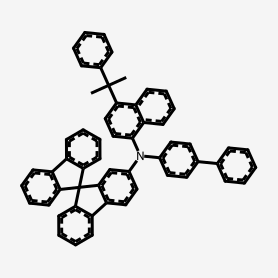 CC(C)(c1ccccc1)c1ccc(N(c2ccc(-c3ccccc3)cc2)c2ccc3c(c2)C2(c4ccccc4-c4ccccc42)c2ccccc2-3)c2ccccc12